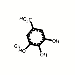 O=C(O)c1cc(O)c(O)c(O)c1.[Gd]